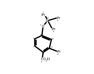 CCOC(=O)c1ccc(O[Si](C(C)C)(C(C)C)C(C)C)cc1C(C)C